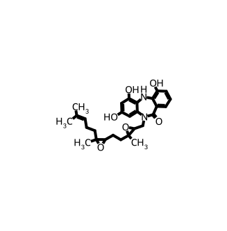 CC(C)=CCCC1(C)OC1CCC1(C)OC1CN1C(=O)c2cccc(O)c2Nc2c(O)cc(O)cc21